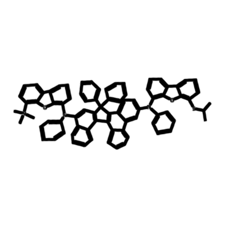 CC(C)Sc1cccc2c1oc1c(N(c3ccccc3)c3ccc4c5c(c6ccccc6c4c3)-c3c(cc(N(c4ccccc4)c4cccc6c4oc4c([Si](C)(C)C)cccc46)c4ccccc34)C5(c3ccccc3)c3ccccc3)cccc12